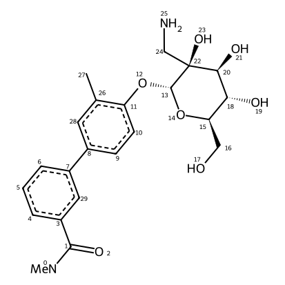 CNC(=O)c1cccc(-c2ccc(O[C@H]3O[C@H](CO)[C@@H](O)[C@H](O)[C@@]3(O)CN)c(C)c2)c1